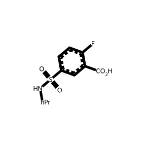 CCCNS(=O)(=O)c1ccc(F)c(C(=O)O)c1